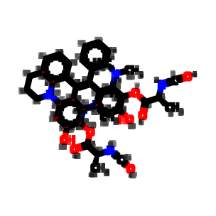 C[C@H](N=C=O)C(=O)Oc1c(O)cc(N2CCCCC2)c(C(=C(c2ccccc2)c2c(N3CCCCC3)cc(O)c(OC(=O)[C@H](C)N=C=O)c2N(C)C)c2ccccc2)c1N(C)C